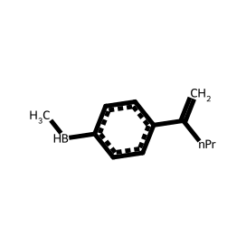 C=C(CCC)c1ccc(BC)cc1